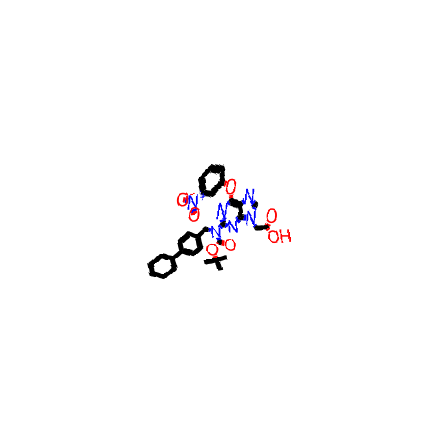 CC(C)(C)OC(=O)N(Cc1ccc(C2CCCCC2)cc1)c1nc(Oc2cccc([N+](=O)[O-])c2)c2ncn(CC(=O)O)c2n1